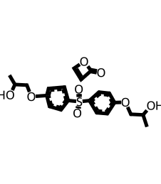 CC(O)COc1ccc(S(=O)(=O)c2ccc(OCC(C)O)cc2)cc1.O=C1C=CO1